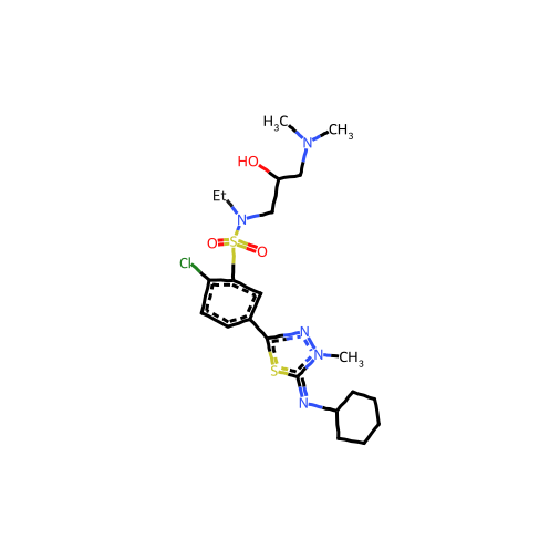 CCN(CC(O)CN(C)C)S(=O)(=O)c1cc(-c2nn(C)/c(=N\C3CCCCC3)s2)ccc1Cl